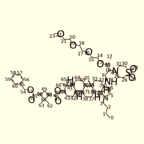 CCCC[C@@H]1CC[C@]2(NCC([C@@H](C)OCCOCCOCCOC)N3CCS(=O)(=O)CC3)CC[C@]3(C)[C@H](CC[C@@H]4[C@@]5(C)CC[C@H](OC(=O)[C@H]6C[C@@H](C(=O)OCc7ccccc7)C6(C)C)C(C)(C)[C@@H]5CC[C@]43C)[C@@H]12